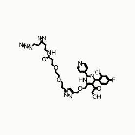 [N-]=[N+]=NCCC1(CCNC(=O)CCOCCOCCn2cc(COCC3=C(C(=O)CO)C(c4ccc(F)cc4Cl)N=C(c4ccncc4)N3)nn2)N=N1